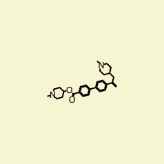 C=C(CC1CCN(C)CC1)c1ccc(-c2ccc(C(=O)OC3CCN(C)CC3)cc2)cc1